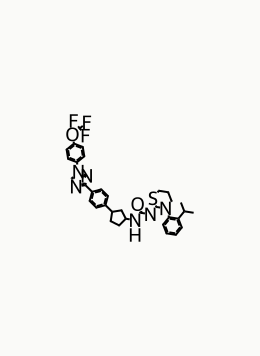 CC(C)c1ccccc1N1CCCS/C1=N\C(=O)NC1CCC(c2ccc(-c3ncn(-c4ccc(OC(F)(F)F)cc4)n3)cc2)C1